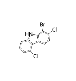 Clc1ccc2c([nH]c3cccc(Cl)c32)c1Br